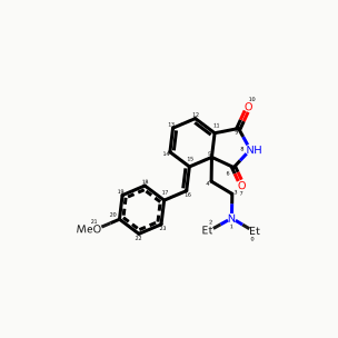 CCN(CC)CCC12C(=O)NC(=O)C1=CC=CC2=Cc1ccc(OC)cc1